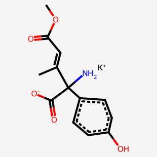 COC(=O)C=C(C)C(N)(C(=O)[O-])c1ccc(O)cc1.[K+]